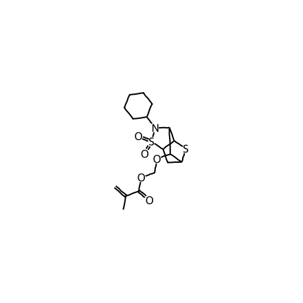 C=C(C)C(=O)OCOC1C2CC3C(S2)C1N(C1CCCCC1)S3(=O)=O